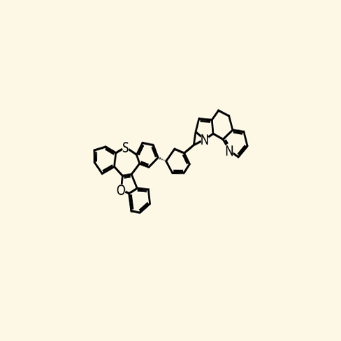 C1=C[C@H](c2ccc3c(c2)-c2c(oc4ccccc24)-c2ccccc2S3)CC(C2C3C=C4CCc5cccnc5C4N32)=C1